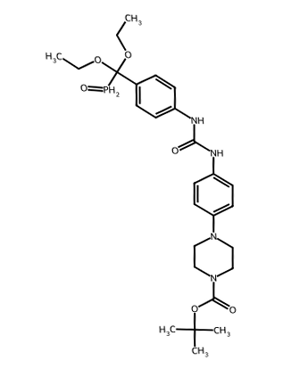 CCOC(OCC)([PH2]=O)c1ccc(NC(=O)Nc2ccc(N3CCN(C(=O)OC(C)(C)C)CC3)cc2)cc1